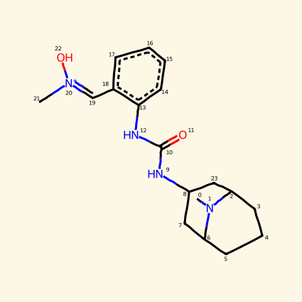 CN1C2CCCC1CC(NC(=O)Nc1ccccc1C=[N+](C)O)C2